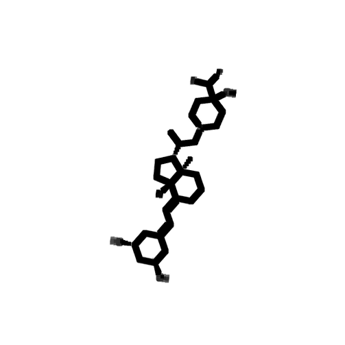 CC(CN1CCC(O)(C(F)F)CC1)[C@H]1CC[C@H]2/C(=C/C=C3C[C@@H](O)C[C@H](O)C3)CCC[C@]12C